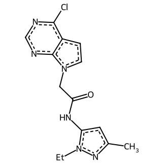 CCn1nc(C)cc1NC(=O)Cn1ccc2c(Cl)ncnc21